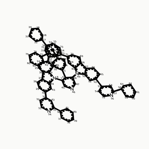 N#Cc1ccc(-c2c(-n3c4cc(-c5ccnc(-c6ccccc6)c5)ccc4c4ccc(-c5ccnc(-c6ccccc6)c5)cc43)cncc2-n2c3cc(-c4ccnc(-c5ccccc5)c4)ccc3c3ccc(-c4cccc(-c5ccccc5)n4)cc32)cc1